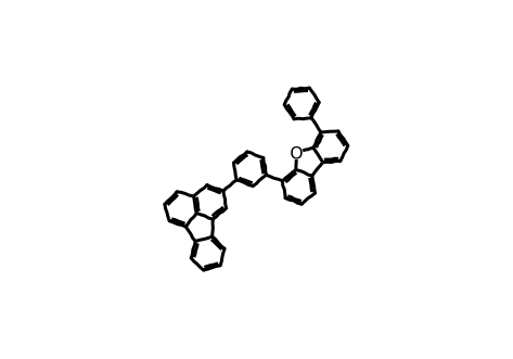 c1ccc(-c2cccc3c2oc2c(-c4cccc(-c5cc6c7c(cccc7c5)-c5ccccc5-6)c4)cccc23)cc1